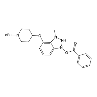 CCCCN1CCC(Oc2cccc3c2N(C)NN3OC(=O)c2ccccc2)CC1